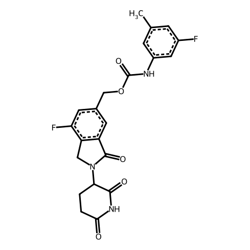 Cc1cc(F)cc(NC(=O)OCc2cc(F)c3c(c2)C(=O)N(C2CCC(=O)NC2=O)C3)c1